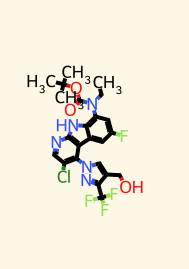 CCN(C(=O)OC(C)(C)C)c1cc(F)cc2c1[nH]c1ncc(Cl)c(-n3cc(CO)c(C(F)(F)F)n3)c12